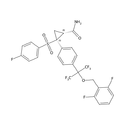 NC(=O)[C@H]1C[C@]1(c1ccc(C(OCc2c(F)cccc2F)(C(F)(F)F)C(F)(F)F)cc1)S(=O)(=O)c1ccc(F)cc1